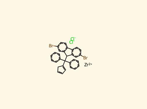 Brc1ccc2c(c1)C(C(C1=CC=CC1)(c1ccccc1)c1ccccc1)c1cc(Br)ccc1-2.[Cl-].[Cl-].[Zr+2]